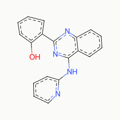 Oc1ccccc1-c1nc(Nc2ccccn2)c2ccccc2n1